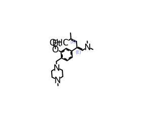 CCOc1cc(C(/C=C(/C)C=O)=C/N(C)C)ccc1CN1CCN(C)CC1